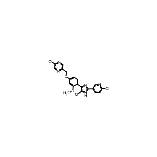 COC1=CC(OCc2cnc(Cl)cn2)=CCC1c1nc(-c2ccc(Cl)nc2)[nH]c1Cl